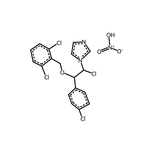 Clc1ccc(C(OCc2c(Cl)cccc2Cl)C(Cl)n2ccnc2)cc1.O=[N+]([O-])O